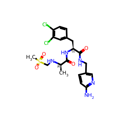 C[C@@H](NCS(C)(=O)=O)C(=O)N[C@@H](Cc1ccc(Cl)c(Cl)c1)C(=O)NCc1ccc(N)nc1